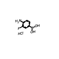 Cl.Nc1ccc(B(O)O)cc1F